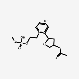 COP(=O)(O)OCC[n+]1ccccc1C1CC(SC(C)=O)CO1.[OH-]